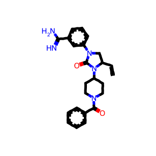 C=CC1CN(c2cccc(C(=N)N)c2)C(=O)N1C1CCN(C(=O)c2ccccc2)CC1